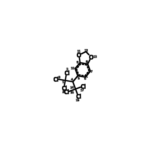 ClC(Cl)(Cl)C(c1[c]cc2c(c1)OCO2)C(Cl)(Cl)Cl